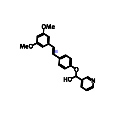 COc1cc(/C=C/c2ccc(OC(O)c3cccnc3)cc2)cc(OC)c1